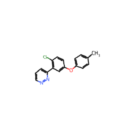 Cc1ccc(Oc2ccc(Cl)c(-c3cccnn3)c2)cc1